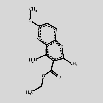 CCOC(=O)c1c(C)nc2ccc(OC)nc2c1N